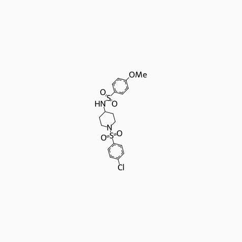 COc1ccc(S(=O)(=O)NC2CCN(S(=O)(=O)c3ccc(Cl)cc3)CC2)cc1